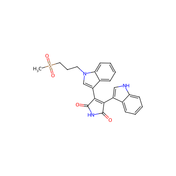 CS(=O)(=O)CCCn1cc(C2=C(c3c[nH]c4ccccc34)C(=O)NC2=O)c2ccccc21